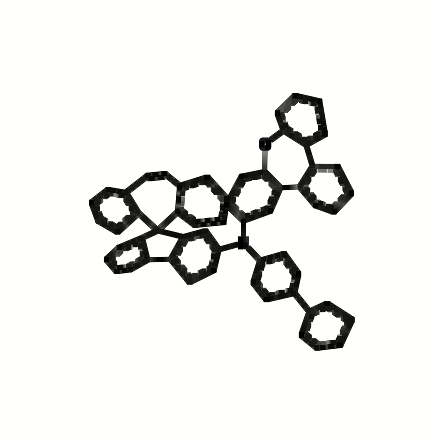 C1=Cc2ccccc2C2(c3ccccc31)c1ccccc1-c1ccc(N(c3ccc(-c4ccccc4)cc3)c3ccc4c(c3)-c3ccccc3-c3ccccc3O4)cc12